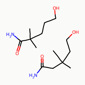 CC(C)(CCCO)C(N)=O.CC(C)(CCO)CC(N)=O